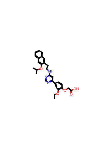 CCOc1cc(-c2cc(NCCc3cc4ccccc4cc3OC(C)C)ncn2)ccc1OCC(=O)O